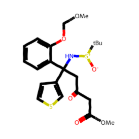 COCOc1ccccc1C(CC(=O)CC(=O)OC)(N[S+]([O-])C(C)(C)C)c1ccsc1